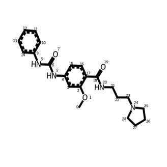 COc1cc(NC(=O)Nc2ccccc2)ccc1C(=O)NCCCN1CCCC1